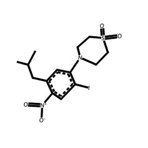 C[C](C)Cc1cc(N2CCS(=O)(=O)CC2)c(I)cc1[N+](=O)[O-]